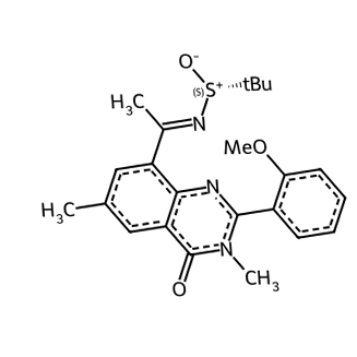 COc1ccccc1-c1nc2c(C(C)=N[S@+]([O-])C(C)(C)C)cc(C)cc2c(=O)n1C